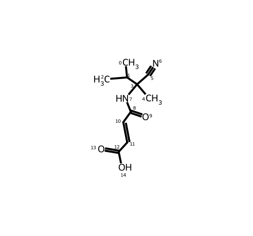 CC(C)C(C)(C#N)NC(=O)C=CC(=O)O